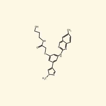 Cc1ccc2nc(Nc3cc(OCC(=O)NCCCO)cc(-c4cnn(C)c4)c3)ncc2c1